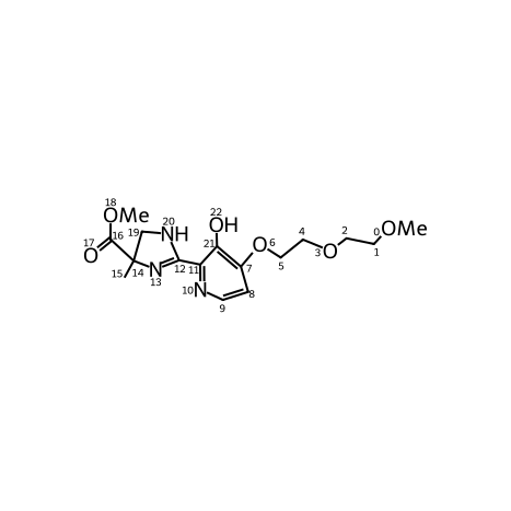 COCCOCCOc1ccnc(C2=NC(C)(C(=O)OC)CN2)c1O